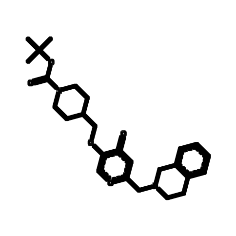 CC(C)(C)OC(=O)N1CCC(COc2coc(CN3CCc4ccccc4C3)cc2=O)CC1